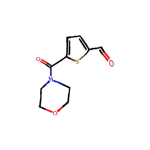 O=Cc1ccc(C(=O)N2CCOCC2)s1